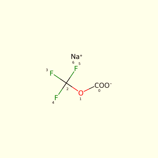 O=C([O-])OC(F)(F)F.[Na+]